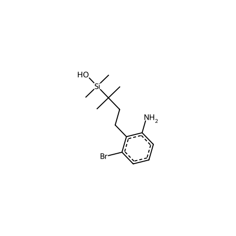 CC(C)(CCc1c(N)cccc1Br)[Si](C)(C)O